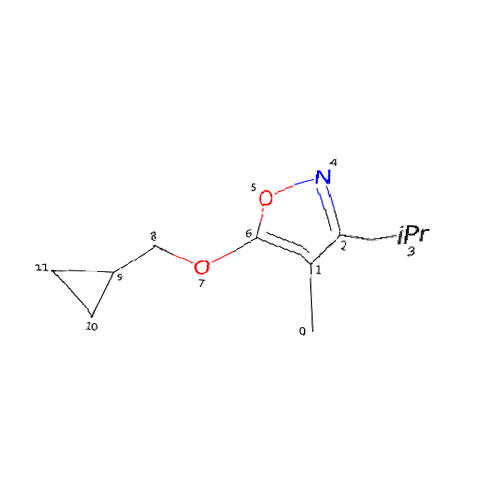 Cc1c(C(C)C)noc1OCC1CC1